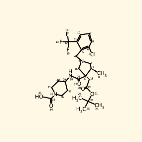 C[C@@H]1CN(Cc2c(Cl)cccc2C(F)(F)F)C[C@]1(CC(=O)OC(C)(C)C)C(=O)NC1CCN(C(=O)O)CC1